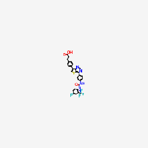 O=C(O)CCc1ccc(-c2csc3c(-c4ccc(NC(=O)Nc5ccc(F)cc5C(F)(F)F)cc4)ncnc23)cc1